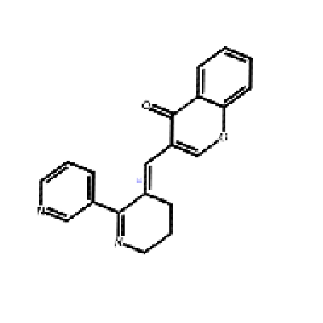 O=c1c(/C=C2\CCCN=C2c2cccnc2)coc2ccccc12